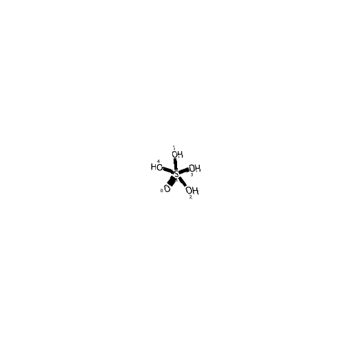 O=S(O)(O)(O)O